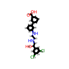 O=C(O)c1cccc(-c2cccc(NCCNC[C@H](O)c3cc(Cl)cc(Cl)c3)c2)c1